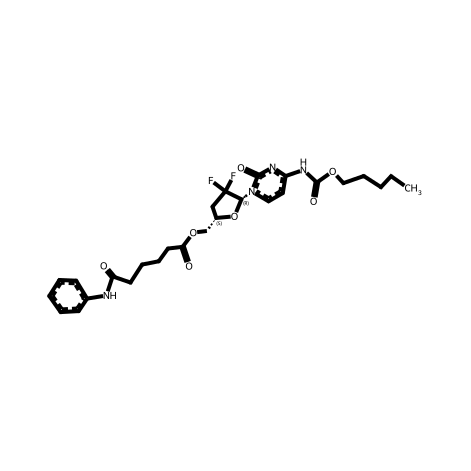 CCCCCOC(=O)Nc1ccn([C@@H]2O[C@H](COC(=O)CCCCC(=O)Nc3ccccc3)CC2(F)F)c(=O)n1